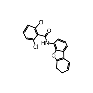 O=C(Nc1cccc2c3c(oc12)CCC=C3)c1c(Cl)cccc1Cl